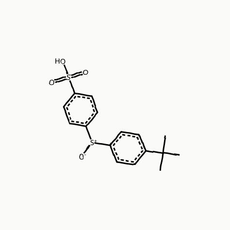 CC(C)(C)c1ccc([S+]([O-])c2ccc(S(=O)(=O)O)cc2)cc1